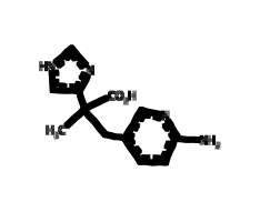 CC(Cc1ccc(N)nc1)(C(=O)O)c1c[nH]cn1